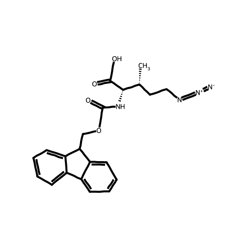 C[C@H](CCN=[N+]=[N-])[C@H](NC(=O)OCC1c2ccccc2-c2ccccc21)C(=O)O